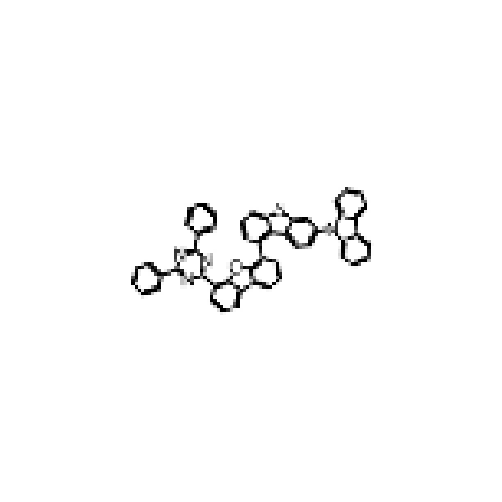 c1ccc(-c2nc(-c3ccccc3)nc(-c3cccc4c3oc3c(-c5cccc6sc7cc(-n8c9ccccc9c9ccccc98)ccc7c56)cccc34)n2)cc1